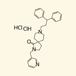 Cl.Cl.O=C1N(Cc2cccnc2)CCC12CCN(CCC(c1ccccc1)c1ccccc1)CC2